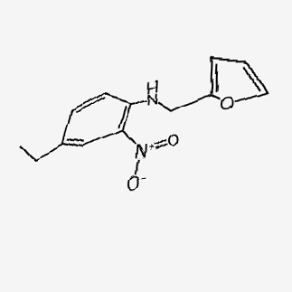 CCc1ccc(NCc2ccco2)c([N+](=O)[O-])c1